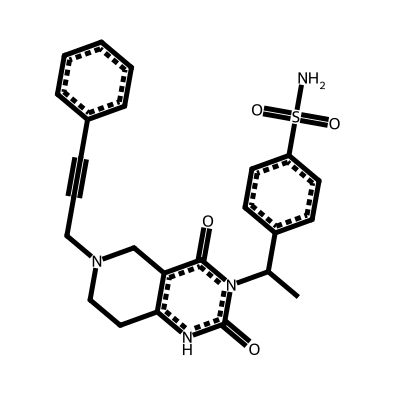 CC(c1ccc(S(N)(=O)=O)cc1)n1c(=O)[nH]c2c(c1=O)CN(CC#Cc1ccccc1)CC2